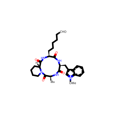 CCC(C)[C@@H]1NC(=O)[C@H](Cc2cn(OC)c3ccccc23)NC(=O)[C@H](CCCCCC=O)NC(=O)[C@H]2CCCCN2C1=O